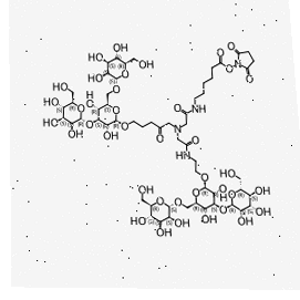 O=C(CCCO[C@@H]1O[C@H](CO[C@H]2O[C@H](CO)[C@@H](O)[C@H](O)[C@@H]2O)[C@@H](O)[C@H](O[C@H]2O[C@H](CO)[C@@H](O)[C@H](O)[C@@H]2O)[C@H]1O)CN(CC(=O)NCCCCCC(=O)ON1C(=O)CCC1=O)CC(=O)NCCO[C@@H]1O[C@H](CO[C@H]2O[C@H](CO)[C@@H](O)[C@H](O)[C@@H]2O)[C@@H](O)[C@H](O[C@H]2O[C@H](CO)[C@@H](O)[C@H](O)[C@@H]2O)[C@H]1O